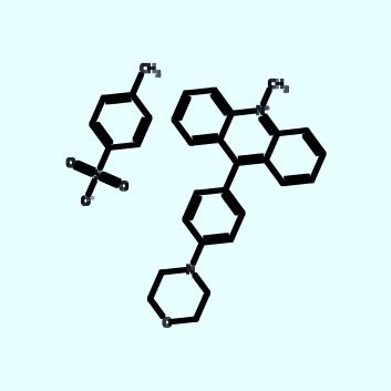 C[n+]1c2ccccc2c(-c2ccc(N3CCOCC3)cc2)c2ccccc21.Cc1ccc(S(=O)(=O)[O-])cc1